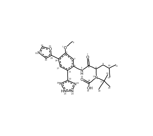 COc1cc(NC(=O)C(CC(C)C)N(C(=O)O)C(C)(C)C)c(-c2nn[nH]n2)cc1-c1cnco1